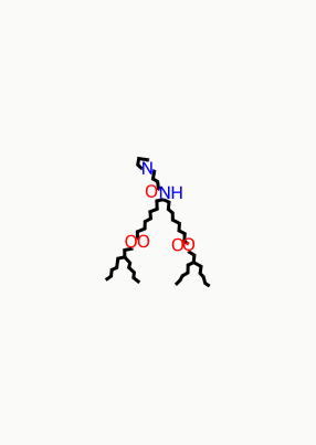 CCCCCC(CCCCC)CCOC(=O)CCCCCCCC(CCCCCCCC(=O)OCCC(CCCCC)CCCCC)NC(=O)CCCN1CCCC1